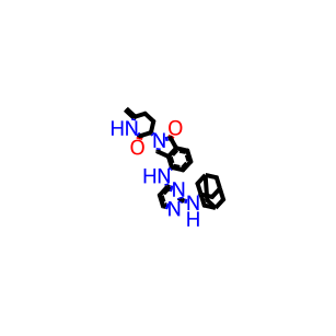 C=C1CCC(N2Cc3c(Nc4ccnc(NC56CC7CC(CC(C7)C5)C6)n4)cccc3C2=O)C(=O)N1